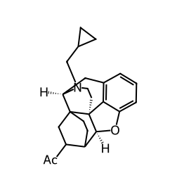 CC(=O)C1CC23CCC1[C@@H]1Oc4cccc5c4[C@@]12CCN(CC1CC1)[C@@H]3C5